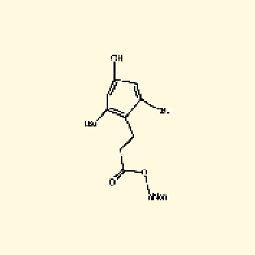 CCCCCCCCCOC(=O)CCc1c(C(C)(C)C)cc(O)cc1C(C)(C)C